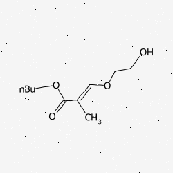 CCCCOC(=O)C(C)=COCCO